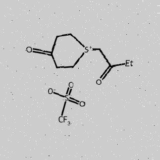 CCC(=O)C[S+]1CCC(=O)CC1.O=S(=O)([O-])C(F)(F)F